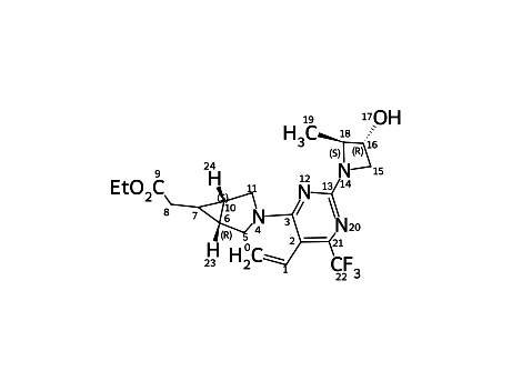 C=Cc1c(N2C[C@@H]3C(CC(=O)OCC)[C@@H]3C2)nc(N2C[C@@H](O)[C@@H]2C)nc1C(F)(F)F